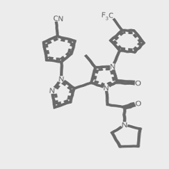 Cc1c(-c2ccnn2-c2ccc(C#N)cc2)n(CC(=O)N2CCCC2)c(=O)n1-c1cccc(C(F)(F)F)c1